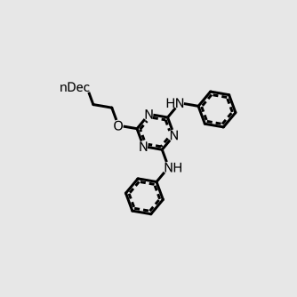 CCCCCCCCCCCCOc1nc(Nc2ccccc2)nc(Nc2ccccc2)n1